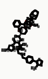 Cc1ncsc1-c1ccc(CNCC(=O)[C@@H]2C[C@@H](O)CN2C(=O)[C@@H](NC(=O)[C@H]2CC[C@@H](c3cnc(N4C5CCC4CN(c4cc(-c6ccccc6O)nnc4N)C5)nc3)CC2)C(C)(C)C)cc1